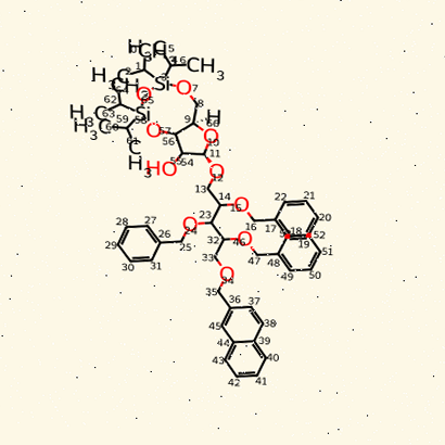 CC(C)[Si]1(C(C)C)OC[C@H]2O[C@@H](OCC(OCc3ccccc3)C(OCc3ccccc3)C(COCc3ccc4ccccc4c3)OCc3ccccc3)C(O)C2O[Si](C(C)C)(C(C)C)O1